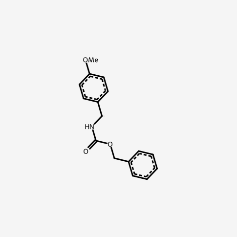 COc1ccc([CH]NC(=O)OCc2ccccc2)cc1